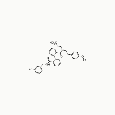 CCOc1ccc(CCN(CCC(=O)O)C(=O)c2ccccc2-c2ccccc2C(=O)NCc2cccc(Cl)c2)cc1